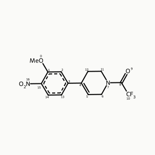 COc1cc(C2=CCN(C(=O)C(F)(F)F)CC2)ccc1[N+](=O)[O-]